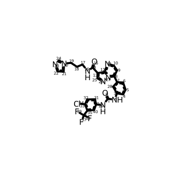 O=C(Nc1cccc(-c2ccnc3c(C(=O)NCCCn4ccnc4)cnn23)c1)Nc1ccc(Cl)c(C(F)(F)F)c1